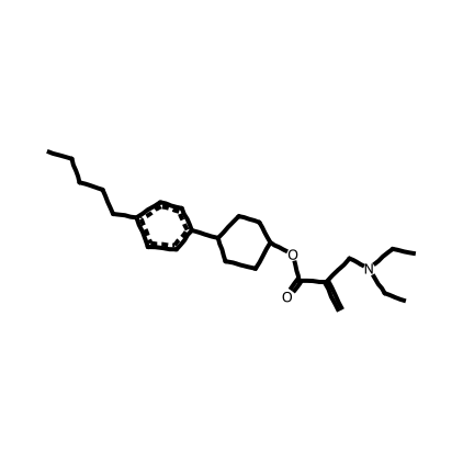 C=C(CN(CC)CC)C(=O)OC1CCC(c2ccc(CCCCC)cc2)CC1